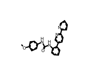 COc1ccc(NC(=O)Nc2ccccc2-c2ccc(-c3ccccn3)nc2)cc1